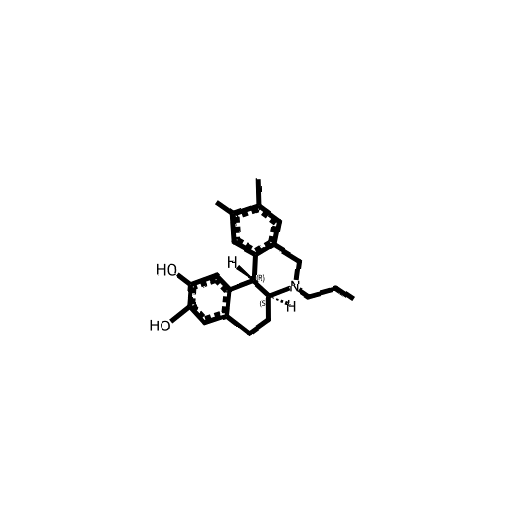 CCCN1Cc2cc(C)c(C)cc2[C@H]2c3cc(O)c(O)cc3CC[C@@H]21